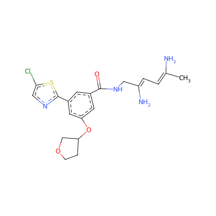 C/C(N)=C/C=C(\N)CNC(=O)c1cc(OC2CCOC2)cc(-c2ncc(Cl)s2)c1